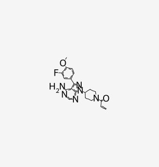 C=CC(=O)N1CCC(n2nc(-c3ccc(OC)c(F)c3)c3c(N)ncnc32)CC1